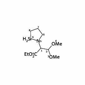 CCOC(=O)C(C(OC)OC)N1CCC[SiH2]1